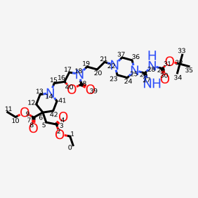 CCOC(=O)CC1(C(=O)OCC)CCN(CC2CN(CCCN3CCN(C(=N)NC(=O)OC(C)(C)C)CC3)C(=O)O2)CC1